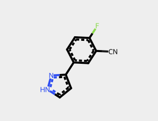 N#Cc1cc(-c2cc[nH]n2)ccc1F